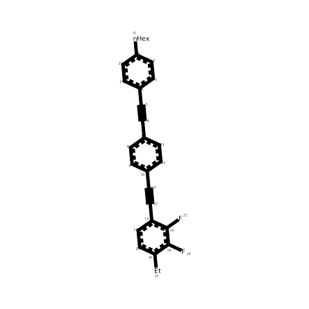 CCCCCCc1ccc(C#Cc2ccc(C#Cc3ccc(CC)c(F)c3F)cc2)cc1